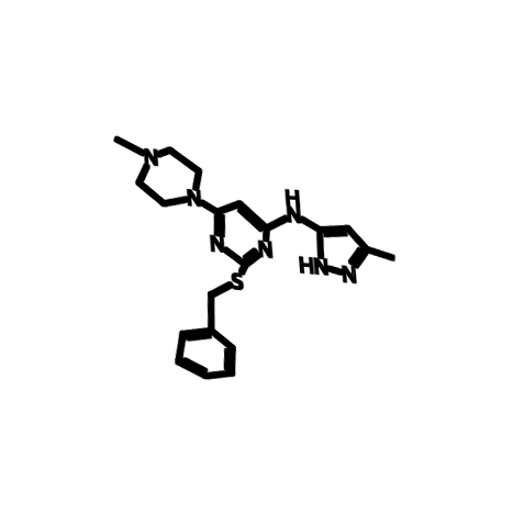 Cc1cc(Nc2cc(N3CCN(C)CC3)nc(SCc3ccccc3)n2)[nH]n1